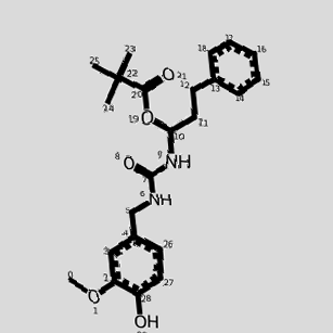 COc1cc(CNC(=O)NC(CCc2ccccc2)OC(=O)C(C)(C)C)ccc1O